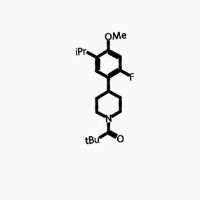 COc1cc(F)c(C2CCN(C(=O)C(C)(C)C)CC2)cc1C(C)C